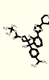 CC(C)c1ccc(C(O)(c2cccc(-c3noc(C4CCOCC4)n3)c2F)C2(C)CN(C(=O)OC(C)(C)C)C2)cc1